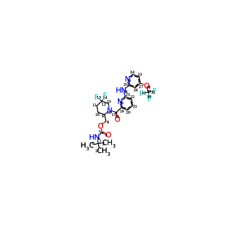 CC(C)(C)NC(=O)OCC1CCC(F)(F)CN1C(=O)c1cccc(Nc2cc(OC(F)(F)F)ccn2)n1